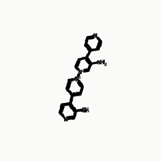 Nc1c[n+](-[n+]2ccc(-c3ccncc3S)cc2)ccc1-c1ccncc1